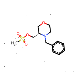 CS(=O)(=O)OC[C@@H]1COCCN1Cc1ccccc1